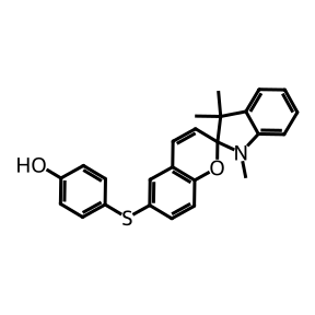 CN1c2ccccc2C(C)(C)C12C=Cc1cc(Sc3ccc(O)cc3)ccc1O2